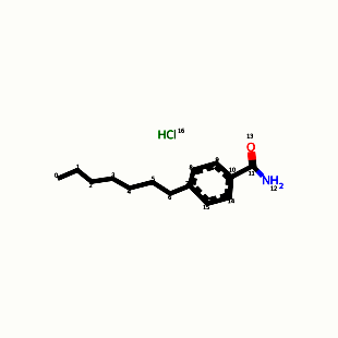 CCCCCCCc1ccc(C(N)=O)cc1.Cl